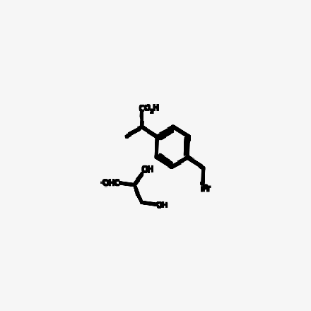 CC(C)Cc1ccc(C(C)C(=O)O)cc1.O=[C]C(O)CO